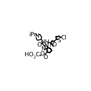 CC(C)N1CCC(NC(=O)c2nc3c(C(=O)OCC(=O)O)cccc3n2Cc2cc(-c3ccc(Cl)s3)on2)CC1